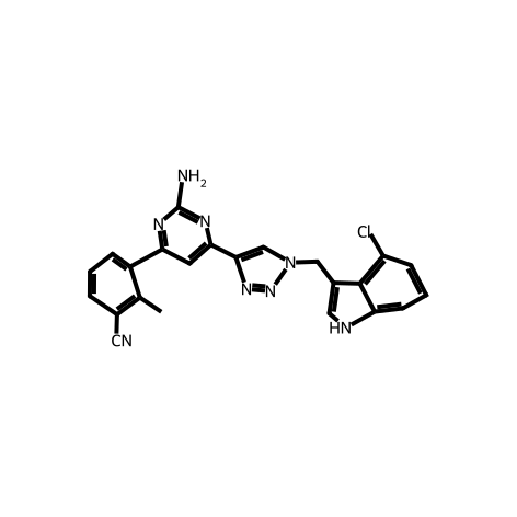 Cc1c(C#N)cccc1-c1cc(-c2cn(Cc3c[nH]c4cccc(Cl)c34)nn2)nc(N)n1